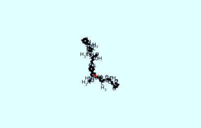 Cc1cc(N(C)c2nc(C(=O)O)c(CCCOc3ccc(C(CCNC(N)=O)CC(=O)NNC(=O)CC(C)CNC(=O)[C@H](C)OCCN4C(=O)C=CC4=O)cc3F)s2)nnc1Nc1nc2ccccc2s1